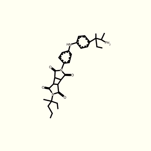 CCCC(C)(CC)N1C(=O)C2C3C(=O)N(c4ccc(Nc5ccc(C(C)(CC)C(C)P)cc5)cc4)C(=O)C3C2C1=O